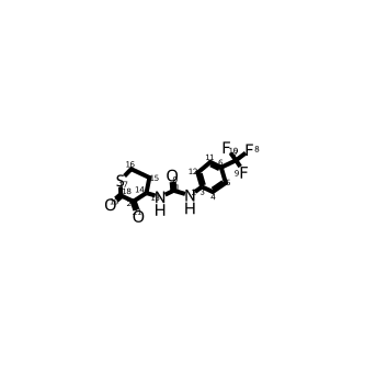 O=C(Nc1ccc(C(F)(F)F)cc1)NC1CCSC(=O)C1=O